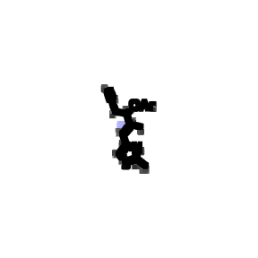 C#CCC(OC(C)=O)/C(C)=C/c1csc(C)n1